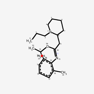 CCCN1CCCCC1C/C(=N/c1c(C)cccc1C)OC(C)C